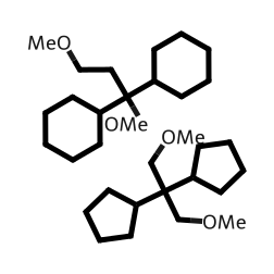 COCC(COC)(C1CCCC1)C1CCCC1.COCCC(OC)(C1CCCCC1)C1CCCCC1